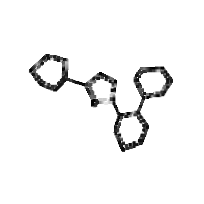 c1ccc(-c2ccc(-c3ccccc3-c3ccccc3)o2)cc1